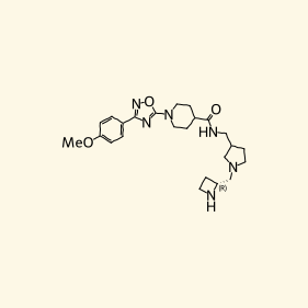 COc1ccc(-c2noc(N3CCC(C(=O)NCC4CCN(C[C@H]5CCN5)C4)CC3)n2)cc1